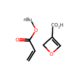 C=CC(=O)OCCCC.O=C(O)C1=COC1